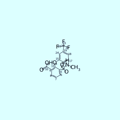 CNS(=O)(=O)c1cccc(C(=O)O)c1Oc1cccc(C(F)(F)F)c1